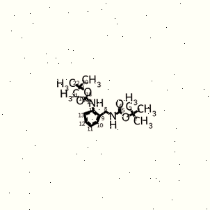 CC(C)(C)OC(=O)NCc1ccccc1NC(=O)OC(C)(C)C